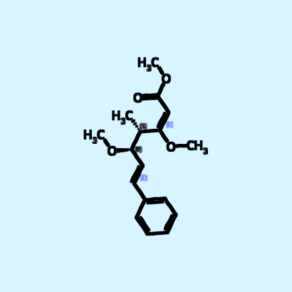 COC(=O)/C=C(/OC)[C@@H](C)[C@@H](/C=C/c1ccccc1)OC